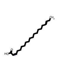 CCC=CCCCCCCCCCCCCC/C=C\C(=O)O